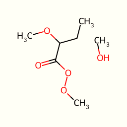 CCC(OC)C(=O)OOC.CO